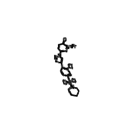 CCCn1cc(-n2cc(-c3ccc(S(=O)(=O)N4CCCCC4)cc3Cl)cn2)ccc1=O